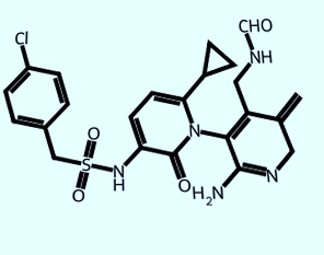 C=C1CN=C(N)C(n2c(C3CC3)ccc(NS(=O)(=O)Cc3ccc(Cl)cc3)c2=O)=C1CNC=O